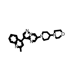 Cc1cc(-c2cnn3cc(N4CCC(N5CCOCC5)CC4)cnc23)c2ccccc2n1